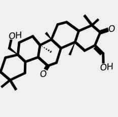 CC1(C)CC[C@]2(CO)CC[C@]3(C)C(C(=O)CC4[C@@]5(C)CC(=CO)C(=O)C(C)(C)C5CC[C@]43C)C2C1